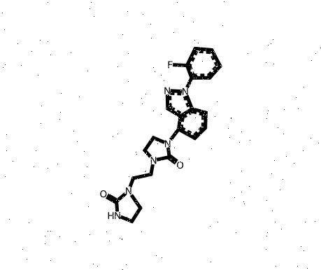 O=C1NCCN1CCN1CCN(c2cccc3c2cnn3-c2ccccc2F)C1=O